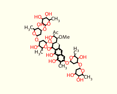 CO[C@@H]([C@@H]1Cc2cc3cc(O[C@H]4CC(O[C@H]5CC(O)[C@H](O)C(C)O5)[C@H](O)C(C)O4)c(C)c(O)c3c(O)c2C(=O)[C@H]1O[C@H]1C[C@@H](O[C@H]2C[C@@H](O[C@H]3CC(O)[C@H](O)C(C)O3)[C@@H](O)C(C)O2)[C@H](O)C(C)O1)[C@@H](O)C(C)=O